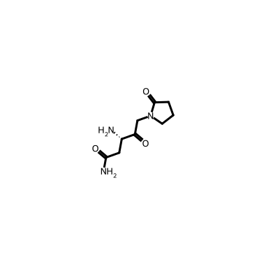 NC(=O)C[C@H](N)C(=O)CN1CCCC1=O